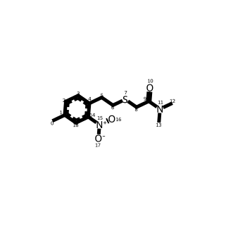 Cc1ccc(CCSCC(=O)N(C)C)c([N+](=O)[O-])c1